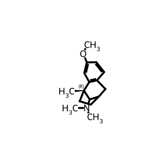 COc1ccc2c(c1)[C@@]1(C)CCC(C2)C1N(C)C